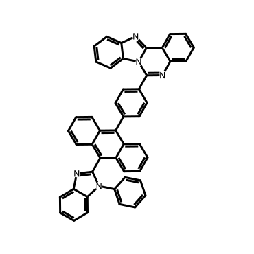 c1ccc(-n2c(-c3c4ccccc4c(-c4ccc(-c5nc6ccccc6c6nc7ccccc7n56)cc4)c4ccccc34)nc3ccccc32)cc1